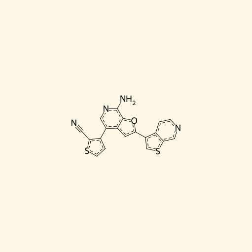 N#Cc1sccc1-c1cnc(N)c2oc(-c3csc4cnccc34)cc12